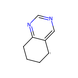 [C]1CCCc2ncncc21